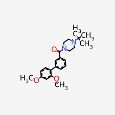 COc1ccc(-c2cccc(C(=O)N3CCN(C(C)(C)C)CC3)c2)c(OC)c1